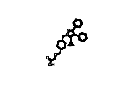 O=C(O)COC[C@H]1CC[C@@H](Cn2nc(-c3ccccc3)c(-c3ccccc3)c2C2CC2)CC1